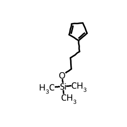 C[Si](C)(C)OCCCC1=CCC=C1